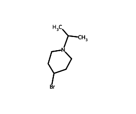 CC(C)N1CCC(Br)CC1